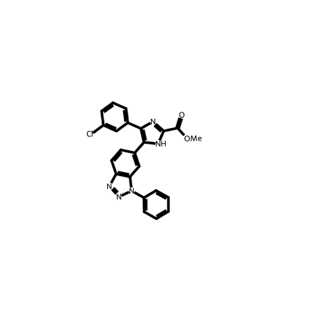 COC(=O)c1nc(-c2cccc(Cl)c2)c(-c2ccc3nnn(-c4ccccc4)c3c2)[nH]1